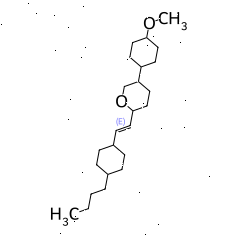 CCCCC1CCC(/C=C/C2CCC(C3CCC(OC)CC3)CO2)CC1